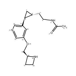 CC(=O)NCC[C@H]1C[C@@H]1c1cncc(OC[C@@H]2CCN2)c1